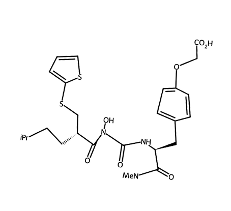 CNC(=O)[C@H](Cc1ccc(OCC(=O)O)cc1)NC(=O)N(O)C(=O)[C@H](CCC(C)C)CSc1cccs1